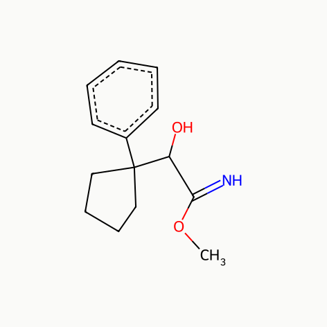 COC(=N)C(O)C1(c2ccccc2)CCCC1